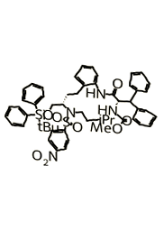 COC(=O)N[C@H](C(=O)Nc1ccccc1CC[C@@H](CO[Si](c1ccccc1)(c1ccccc1)C(C)(C)C)N(CCC(C)C)S(=O)(=O)c1ccc([N+](=O)[O-])cc1)C(c1ccccc1)c1ccccc1